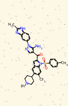 Cc1ccc(S(=O)(=O)n2c(C(=O)c3cnn(-c4ccc5[nH]c(C)nc5c4)c3N)cc3cc(C4CCN(C(C)C)CC4)c(C(F)(F)F)cc32)cc1